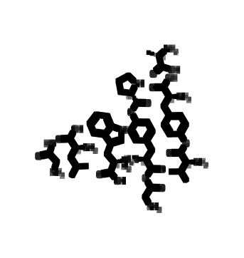 CC(C)C[C@H](N)C(=O)O.CC(C)[C@H](N)C(=O)Oc1ccc(C[C@H](N)C(=O)O)cc1.C[C@H](N)C(=O)O.NCC(=O)O.NCC(=O)OC(=O)[C@@H](N)Cc1ccc(OC(=O)[C@@H]2CCCN2)cc1.N[C@@H](Cc1c[nH]c2ccccc12)C(=O)O